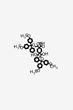 COc1ccc(C(OCC(O)C2(C(=O)O)C=CC(C(=O)O)(C(O)COC(c3ccccc3)(c3ccc(OC)cc3)c3ccc(OC)cc3)C=C2)(c2ccccc2)c2ccc(OC)cc2)cc1